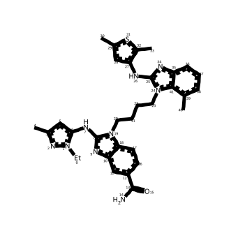 CCn1nc(C)cc1Nc1nc2cc(C(N)=O)ccc2n1CCCCn1c(Nc2cc(C)sc2C)nc2cccc(C)c21